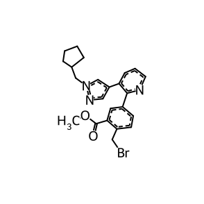 COC(=O)c1cc(-c2ncccc2-c2cnn(CC3CCCC3)c2)ccc1CBr